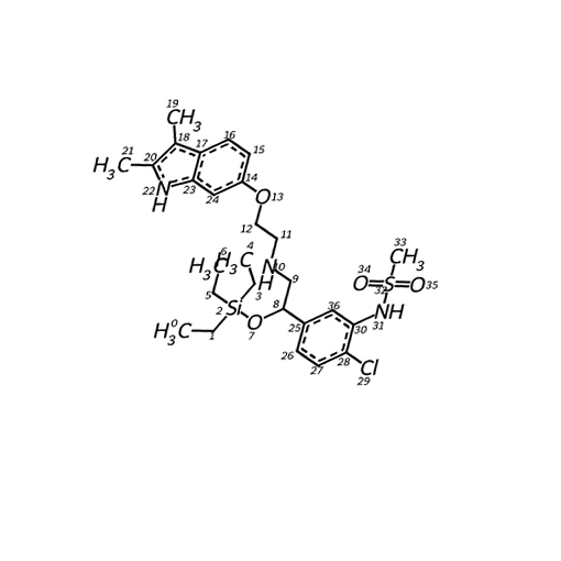 CC[Si](CC)(CC)OC(CNCCOc1ccc2c(C)c(C)[nH]c2c1)c1ccc(Cl)c(NS(C)(=O)=O)c1